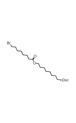 CCCCCCCCCCCCCCCCCCOC(=O)CCCCCCCBr